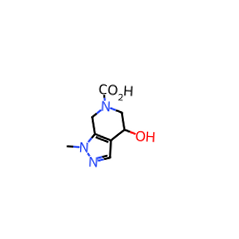 Cn1ncc2c1CN(C(=O)O)CC2O